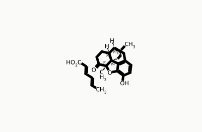 CC=CC=CC(=O)O.CN1CC[C@]23c4c5ccc(O)c4O[C@@]2(C)C(=O)CC[C@H]3[C@H]1C5